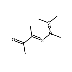 CC(=O)C(C)=NN(C)[SiH](C)C